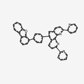 c1ccc(-c2ccc3cc(-c4ccc(-c5cccc6c5oc5ccccc56)cc4)c4ccc(-c5ccccn5)nc4c3n2)nc1